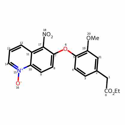 CCOC(=O)Cc1ccc(Oc2ccc3c(ccc[n+]3[O-])c2[N+](=O)[O-])c(OC)c1